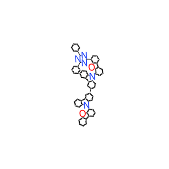 c1ccc(-c2nc(-c3ccccc3)nc(-c3cccc4c3oc3c(-n5c6ccccc6c6cc(-c7ccc8c(c7)c7ccccc7n8-c7cccc8c7oc7ccccc78)ccc65)cccc34)n2)cc1